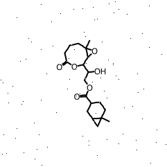 CC12CCC(C(=O)OCC(O)C3OC(=O)CCCC4(C)OC34)CC1C2